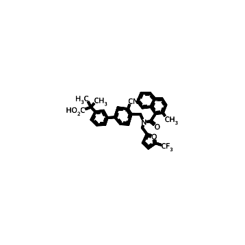 Cc1ccc2ccccc2c1C(=O)N(Cc1ccc(C(F)(F)F)o1)Cc1ccc(-c2cccc(C(C)(C)C(=O)O)c2)cc1C#N